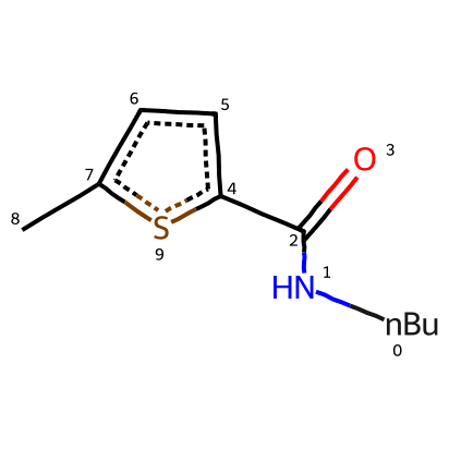 CCCCNC(=O)c1ccc(C)s1